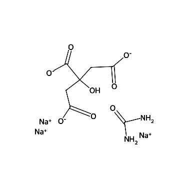 NC(N)=O.O=C([O-])CC(O)(CC(=O)[O-])C(=O)[O-].[Na+].[Na+].[Na+]